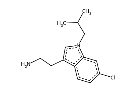 CC(C)Cn1cc(CCN)c2ccc(Cl)cc21